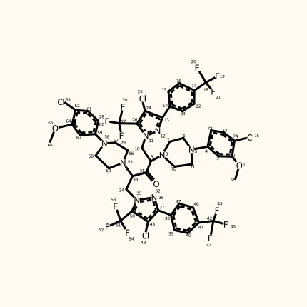 COc1cc(N2CCN(C(Cn3nc(-c4ccc(C(F)(F)F)cc4)c(Cl)c3C(F)(F)F)C(=O)C(Cn3nc(-c4ccc(C(F)(F)F)cc4)c(Cl)c3C(F)(F)F)N3CCN(c4ccc(Cl)c(OC)c4)CC3)CC2)ccc1Cl